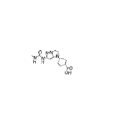 CNC(=O)Nc1cc2n(n1)CCN2c1ccc(C(=O)O)cc1